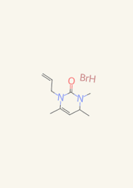 Br.C=CCN1C(=O)N(C)C(C)C=C1C